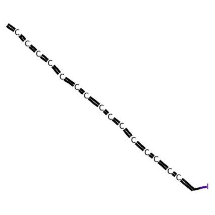 C=C=C=C=C=C=C=C=C=C=C=C=C=C=C=C=CI